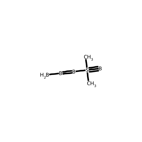 B#S(C)(C)B=BB